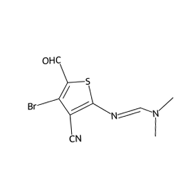 CN(C)/C=N/c1sc(C=O)c(Br)c1C#N